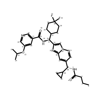 CCCC(=O)N[C@@H](c1cnn2cc([C@@H](NC(=O)c3cncc(OC(C)C)c3)C3CCC(F)(F)CC3)nc2c1)C1CC1